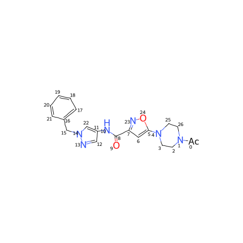 CC(=O)N1CCN(c2cc(C(=O)Nc3cnn(Cc4ccccc4)c3)no2)CC1